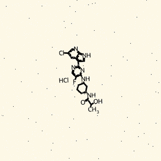 CC(O)C(=O)N[C@@H]1CCC[C@H](Nc2nc(-c3c[nH]c4ncc(Cl)cc34)ncc2F)C1.Cl